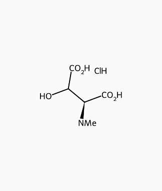 CN[C@H](C(=O)O)C(O)C(=O)O.Cl